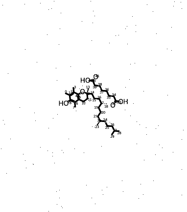 Cc1c(C)c2c(c(C)c1O)CC[C@@](C)(CCC[C@H](C)CCC[C@H](C)CCCC(C)C)O2.O=C(O)CCCCCCC(=O)O